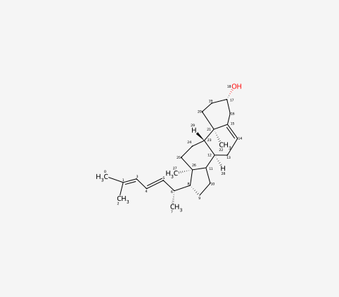 CC(C)=CC=C[C@@H](C)[C@H]1CCC2[C@@H]3CC=C4C[C@@H](O)CC[C@]4(C)[C@H]3CC[C@@]21C